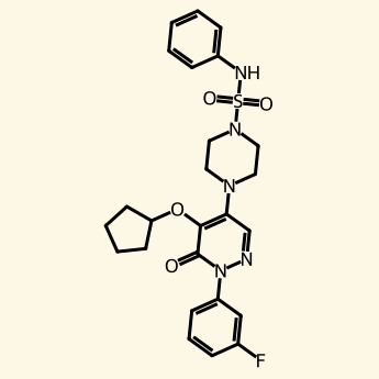 O=c1c(OC2CCCC2)c(N2CCN(S(=O)(=O)Nc3ccccc3)CC2)cnn1-c1cccc(F)c1